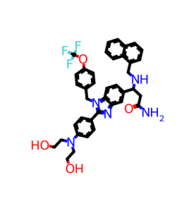 NC(=O)CC(NCc1cccc2ccccc12)c1ccc2c(c1)nc(-c1ccc(N(CCO)CCO)cc1)n2Cc1ccc(OC(F)(F)F)cc1